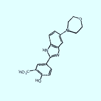 O=C(O)c1cc(-c2nc3cc(N4CCOCC4)ccc3[nH]2)ccc1O